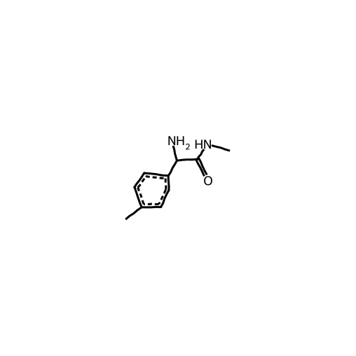 CNC(=O)C(N)c1ccc(C)cc1